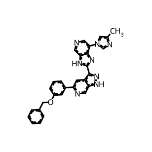 Cc1cn(-c2cncc3[nH]c(-c4n[nH]c5cnc(-c6cccc(OCc7ccccc7)c6)cc45)nc23)cn1